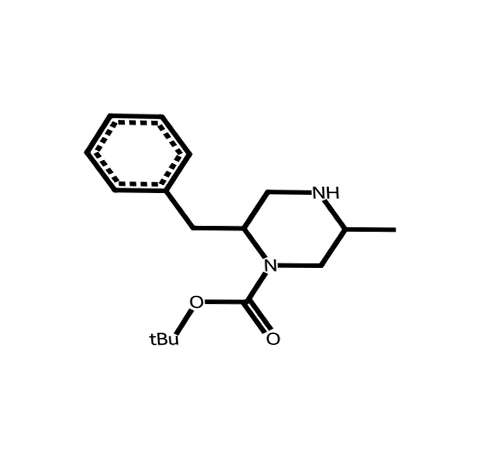 CC1CN(C(=O)OC(C)(C)C)C(Cc2ccccc2)CN1